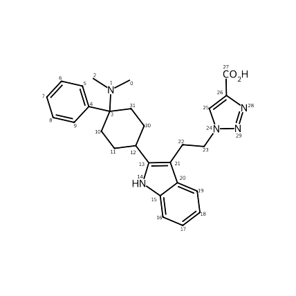 CN(C)C1(c2ccccc2)CCC(c2[nH]c3ccccc3c2CCn2cc(C(=O)O)nn2)CC1